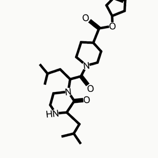 CC(C)CC1NCCN(C(CC(C)C)C(=O)N2CCC(C(=O)OC3CC=CC3)CC2)C1=O